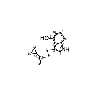 CN(CCc1c[nH]c2cccc(O)c12)C1CC1